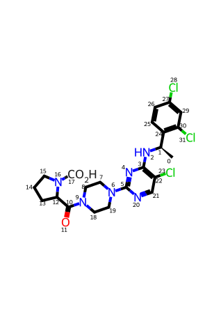 C[C@@H](Nc1nc(N2CCN(C(=O)C3CCCN3C(=O)O)CC2)ncc1Cl)c1ccc(Cl)cc1Cl